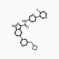 O=C(Nc1ccc(-c2cnccc2F)nc1)c1n[nH]c2ccc(-c3cncc(CN4CCC4)c3)cc12